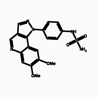 COc1cc2ncc3cnn(-c4ccc(NS(N)(=O)=O)cc4)c3c2cc1OC